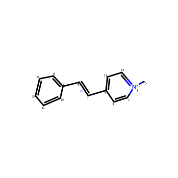 C[n+]1ccc(/C=C/c2ccccc2)cc1